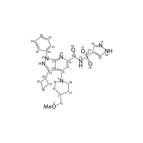 COCC1CCN(c2cc(C(=O)NS(=O)(=O)c3cn[nH]c3)nc3c2c(C2CCC2)nn3-c2ccccc2)CC1